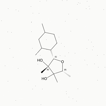 CC1CCC([C@@H]2O[C@H](C)C(C)(O)[C@]2(C)O)C(C)C1